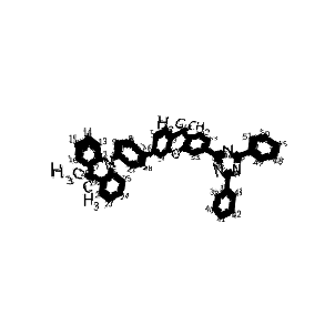 CC1(C)c2ccc(-c3ccc(N4c5ccccc5C(C)(C)c5ccccc54)cc3)cc2Oc2cc(-c3nc(-c4ccccc4)nc(-c4ccccc4)n3)ccc21